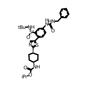 CC(C)OC(=O)N[C@H]1CC[C@@H](c2ncc(-c3ccc(NC(=O)NCc4ccccc4)cc3[S+]([O-])NC(C)(C)C)s2)CC1